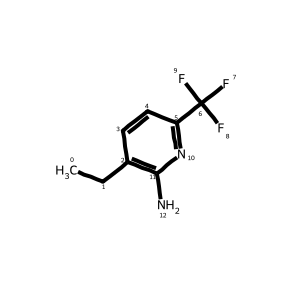 CCc1ccc(C(F)(F)F)nc1N